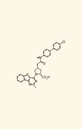 Cc1nc(N2C[C@@H](CC(=O)Nc3ccc(-c4ccc(Cl)cc4)cc3)C[C@H]2C(=O)O)c2oc3ccccc3c2n1